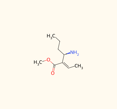 C/C=C(/C(=O)OC)[C@H](N)CCC